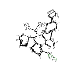 Cc1ccc2c(c1)[C]([Ti+2]([C]1=C3C=CC=CC3c3ccc(C)cc31)=[Si](C)C)=C1C=CC=CC12.[Cl-].[Cl-]